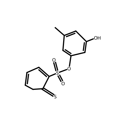 Cc1cc(O)cc(OS(=O)(=O)C2=CC=CCC2=S)c1